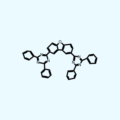 c1ccc(-c2nc(-c3ccccc3)nc(-c3ccc4oc5ccc(-c6nc(-c7ccccc7)nc(-c7ccccc7)n6)cc5c4c3)n2)cc1